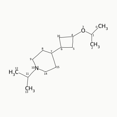 CC(C)OC1CC(C2CCN(C(C)C)CC2)C1